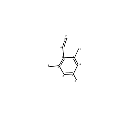 Cc1cc(C)c(C=[N])c(C)c1